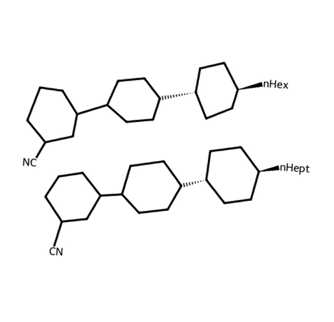 CCCCCCC[C@H]1CC[C@H](C2CCC(C3CCCC(C#N)C3)CC2)CC1.CCCCCC[C@H]1CC[C@H](C2CCC(C3CCCC(C#N)C3)CC2)CC1